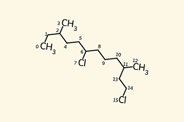 CCC(C)CCC(Cl)CCCC(C)CCCl